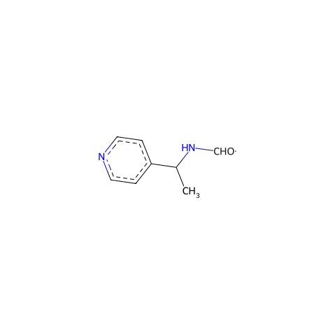 CC(N[C]=O)c1ccncc1